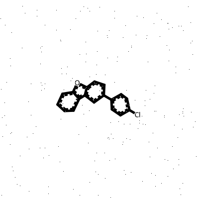 Clc1ccc(-c2ccc3oc4ccccc4c3c2)cc1